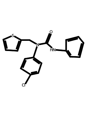 O=C(Nc1ccccc1)N(Cc1cccs1)c1ccc(Cl)cc1